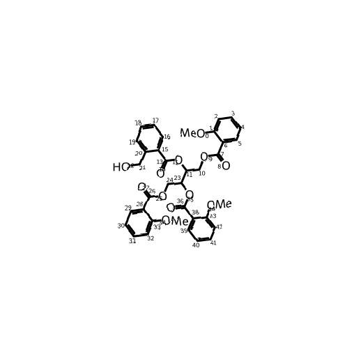 COc1ccccc1C(=O)OCC(OC(=O)c1ccccc1CO)C(COC(=O)c1ccccc1OC)OC(=O)c1ccccc1OC